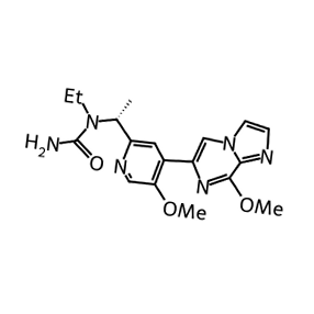 CCN(C(N)=O)[C@H](C)c1cc(-c2cn3ccnc3c(OC)n2)c(OC)cn1